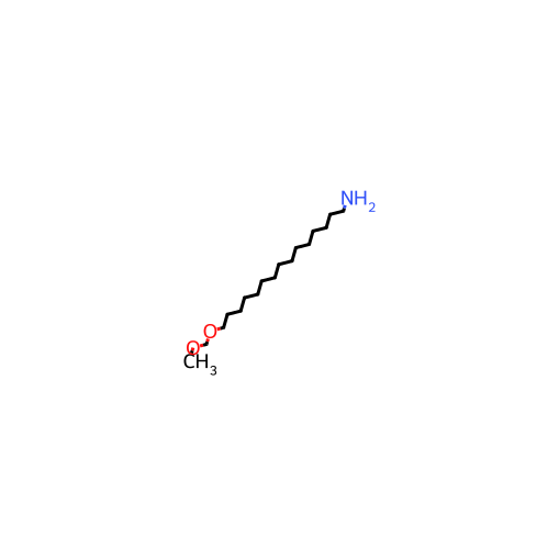 COCOCCCCCCCCCCCCCCCN